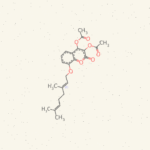 CC(=O)Oc1c(OC(C)=O)c2cccc(OC/C=C(\C)CCC=C(C)C)c2oc1=O